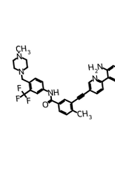 Cc1ccc(C(=O)Nc2ccc(CN3CCN(C)CC3)c(C(F)(F)F)c2)cc1C#Cc1ccc(-c2ccccc2N)nc1